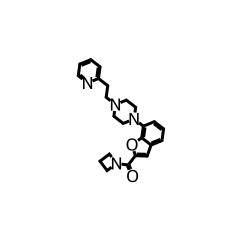 O=C(c1cc2cccc(N3CCN(CCc4ccccn4)CC3)c2o1)N1CCC1